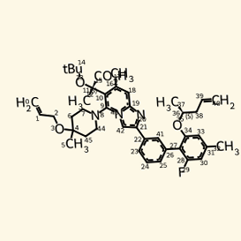 C=CCOC1(C)CCN(c2c([C@](C)(OC(C)(C)C)C(=O)O)c(C)cc3nc(-c4cccc(-c5c(F)cc(C)cc5O[C@@H](C)CC=C)c4)cn23)CC1